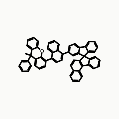 CC1(c2ccccc2)c2ccccc2Oc2c(-c3ccc(-c4ccc5c(c4)C4(c6ccccc6-5)c5ccccc5-c5c4ccc4ccccc54)c4ccccc34)cccc21